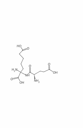 N[C@H](CCC(=O)O)C(=O)NC(N)(CCCCC(=O)O)C(=O)O